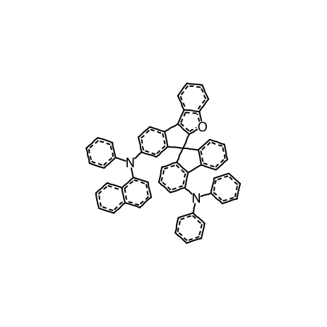 c1ccc(N(c2ccccc2)c2cccc3c2-c2ccccc2C32c3cc(N(c4ccccc4)c4cccc5ccccc45)ccc3-c3c2oc2ccccc32)cc1